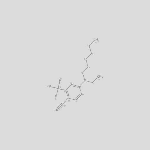 CCCCCCC(CC)c1ccc(C#N)c(C(F)(F)F)c1